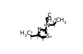 CCc1csc(N(CC)CC)n1